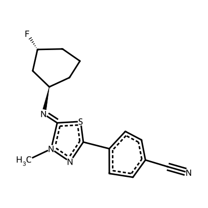 Cn1nc(-c2ccc(C#N)cc2)sc1=N[C@@H]1CCC[C@@H](F)C1